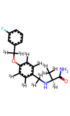 [2H]c1c([2H])c(C([2H])([2H])N[C@]([2H])(C(N)=O)C([2H])([2H])[2H])c([2H])c([2H])c1OC([2H])([2H])c1cccc(F)c1